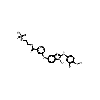 CC(C)c1cc(Nc2nc3cc(Oc4ccnc(C(=O)NCCNS(=O)(=O)C(C)C)c4)ccc3n2C)ccc1OC(F)(F)F